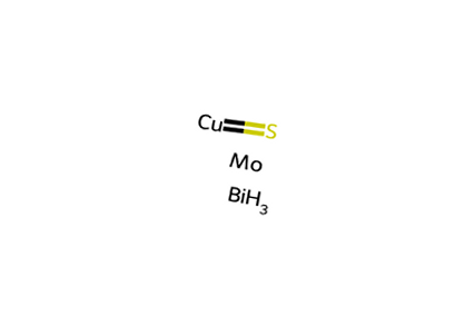 [BiH3].[Mo].[S]=[Cu]